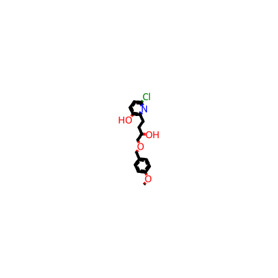 COc1ccc(COCC(O)CCc2nc(Cl)ccc2O)cc1